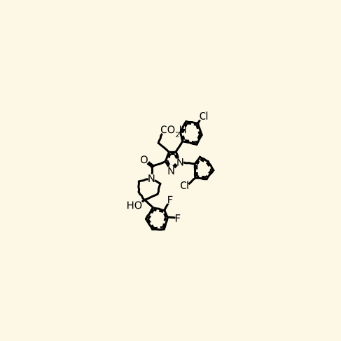 O=C(O)Cc1c(C(=O)N2CCC(O)(c3cccc(F)c3F)CC2)nn(-c2ccccc2Cl)c1-c1ccc(Cl)cc1